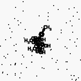 CC#Cc1ccc(C(CO[Si](C)(C)C(C)(C)C)NC(=O)[C@@H]2C[C@@H](O)CN2C(=O)C(NC(=O)O)C(C)(C)C)cc1